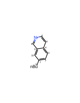 CCCCc1ccc2ccncc2c1